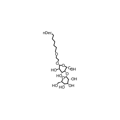 CCCCCCCCCCCCCCCCOCCO[C@H]1O[C@H](CO)[C@@H](O[C@H]2O[C@H](CO)[C@@H](O)[C@H](O)[C@H]2O)[C@H](O)[C@H]1O